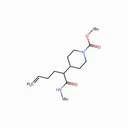 C=CCCC(C(=O)NC(C)(C)C)C1CCN(C(=O)OC(C)(C)C)CC1